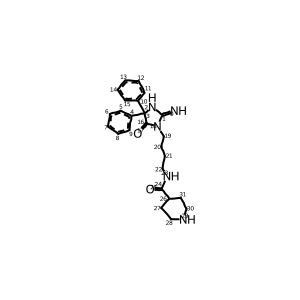 N=C1NC(c2ccccc2)(c2ccccc2)C(=O)N1CCCCNC(=O)C1CCNCC1